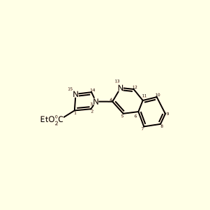 CCOC(=O)c1cn(-c2cc3ccccc3cn2)cn1